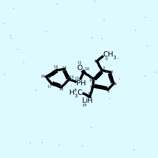 CCc1cccc(CC)c1C(=O)Pc1ccccc1.[LiH]